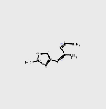 C/C=C\C(C)=C/c1cnn(C)c1